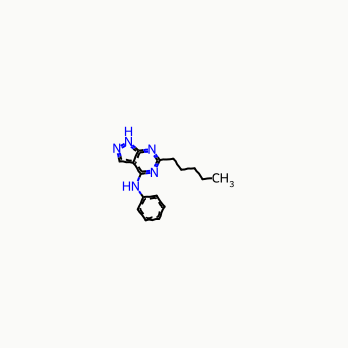 CCCCCc1nc(Nc2ccccc2)c2cn[nH]c2n1